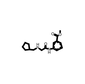 COC(=O)c1cccc(NC(=O)CNCC2CCCC2)c1